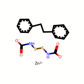 O=C([O-])NSSNC(=O)[O-].[Zn+2].c1ccc(CCc2ccccc2)cc1